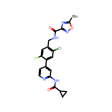 CC(C)(C)c1nc(C(=O)NCc2cc(F)c(-c3ccnc(NC(=O)C4CC4)c3)cc2Cl)no1